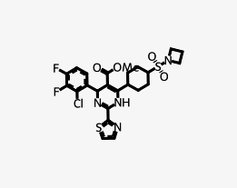 COC(=O)C1=C(C2CCC(S(=O)(=O)N3CCC3)CC2)NC(c2nccs2)=NC1c1ccc(F)c(F)c1Cl